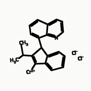 CC(C)C1=[C]([Cr+2])c2ccccc2C1c1cccc2cccnc12.[Cl-].[Cl-]